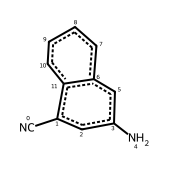 N#Cc1cc(N)cc2ccccc12